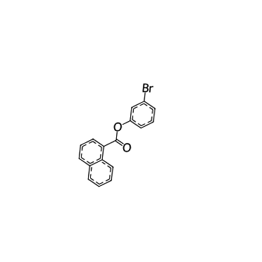 O=C(Oc1cccc(Br)c1)c1cccc2ccccc12